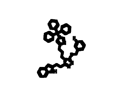 Fc1cccc(CSc2nnc(CCc3cc4ccccc4[nH]3)n2CCCc2cn(C(c3ccccc3)(c3ccccc3)c3ccccc3)cn2)c1